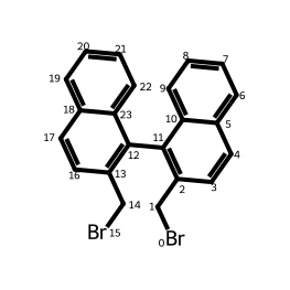 BrCc1ccc2ccccc2c1-c1c(CBr)ccc2ccccc12